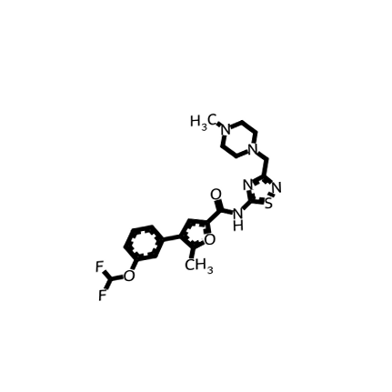 Cc1oc(C(=O)Nc2nc(CN3CCN(C)CC3)ns2)cc1-c1cccc(OC(F)F)c1